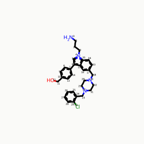 NCCCn1cc(-c2ccc(CO)cc2)c2cc(CN3CCN(Cc4ccccc4Cl)CC3)ccc21